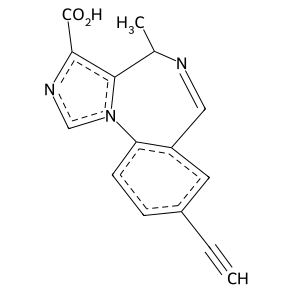 C#Cc1ccc2c(c1)C=NC(C)c1c(C(=O)O)ncn1-2